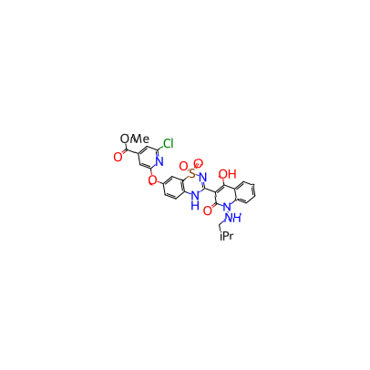 COC(=O)c1cc(Cl)nc(Oc2ccc3c(c2)S(=O)(=O)N=C(c2c(O)c4ccccc4n(NCC(C)C)c2=O)N3)c1